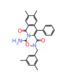 Cc1cc(C)cc(CN(C)C(=O)c2c(-c3ccccc3)c3cc(C)c(C)cc3c(=O)n2C(N)=O)c1